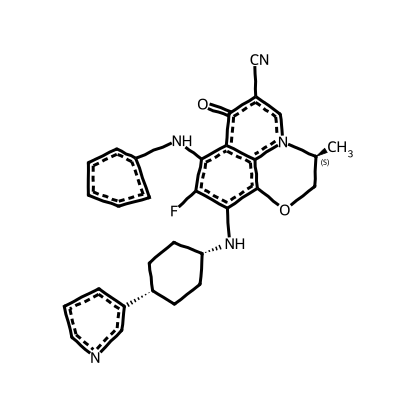 C[C@H]1COc2c(N[C@H]3CC[C@@H](c4cccnc4)CC3)c(F)c(Nc3ccccc3)c3c(=O)c(C#N)cn1c23